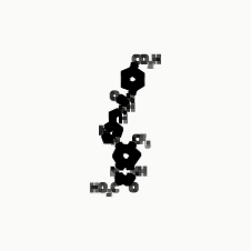 O=C(NCc1cn(-c2cc3nc(C(=O)O)c(=O)[nH]c3cc2C(F)(F)F)cn1)Nc1ccc(C(=O)O)cc1